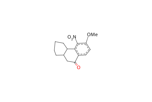 COc1ccc2c(c1[N+](=O)[O-])C1CCCCC1CC2=O